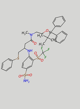 CN(CCO[Si](c1ccccc1)(c1ccccc1)C(C)(C)C)C(=O)CC(CSc1ccccc1)Nc1ccc(S(N)(=O)=O)cc1S(=O)(=O)C(F)(F)F